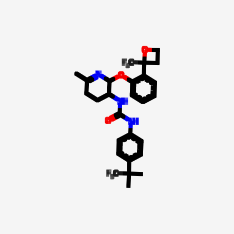 CC1=NC(Oc2ccccc2C2(C(F)(F)F)CCO2)C(NC(=O)Nc2ccc(C(C)(C)C(F)(F)F)cc2)CC1